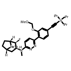 COCOc1cc(C#C[Si](C(C)C)(C(C)C)C(C)C)ccc1-c1ccc(N(C)[C@H]2C[C@@H]3CC[C@H]([C@H]2F)N3C(=O)O)nn1